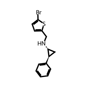 Brc1ccc(CN[C@@H]2C[C@H]2c2ccccc2)s1